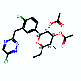 CC[C@H]1O[C@@H](c2ccc(Cl)c(Cc3ncc(Cl)nn3)c2)[C@H](OC(C)=O)[C@@H](OC(C)=O)[C@@H]1C